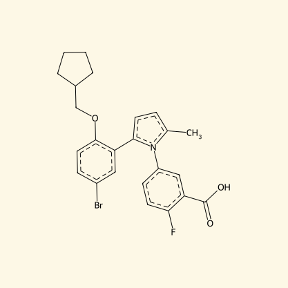 Cc1ccc(-c2cc(Br)ccc2OCC2CCCC2)n1-c1ccc(F)c(C(=O)O)c1